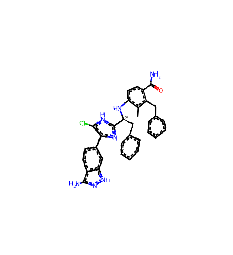 Cc1c(N[C@@H](Cc2ccccc2)c2nc(-c3ccc4c(N)n[nH]c4c3)c(Cl)[nH]2)ccc(C(N)=O)c1Cc1ccccc1